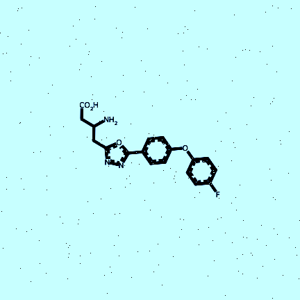 NC(CC(=O)O)Cc1nnc(-c2ccc(Oc3ccc(F)cc3)cc2)o1